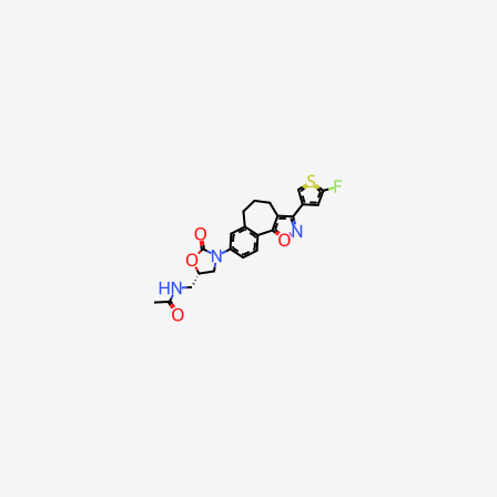 CC(=O)NC[C@H]1CN(c2ccc3c(c2)CCCc2c(-c4csc(F)c4)noc2-3)C(=O)O1